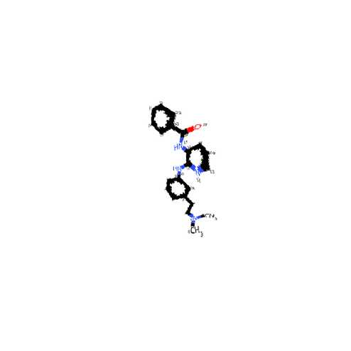 CN(C)CCc1cccc(Nc2ncccc2NC(=O)c2ccccc2)c1